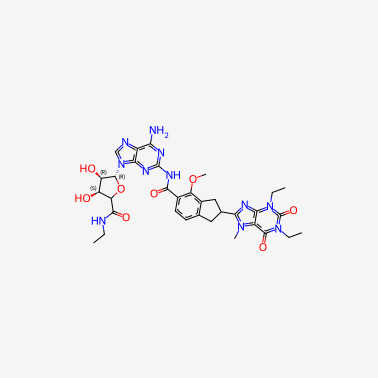 CCNC(=O)C1O[C@@H](n2cnc3c(N)nc(NC(=O)c4ccc5c(c4OC)CC(c4nc6c(c(=O)n(CC)c(=O)n6CC)n4C)C5)nc32)[C@H](O)[C@@H]1O